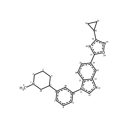 CN1CCCC(c2cccc(-n3cnc4cc(-c5nc(C6CC6)no5)ccc43)c2)C1